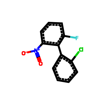 O=[N+]([O-])c1cccc(F)c1-c1ccccc1Cl